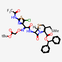 CSCC1=C(C(=O)OC(c2ccccc2)c2ccccc2)N2C(=O)C(NC(=O)C(=NOCC(=O)OC(C)(C)C)c3nc(NC(=O)C(F)(F)F)sc3Cl)[C@@H]2SC1